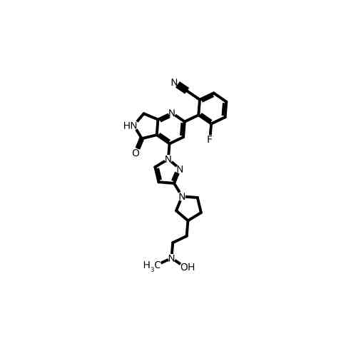 CN(O)CCC1CCN(c2ccn(-c3cc(-c4c(F)cccc4C#N)nc4c3C(=O)NC4)n2)C1